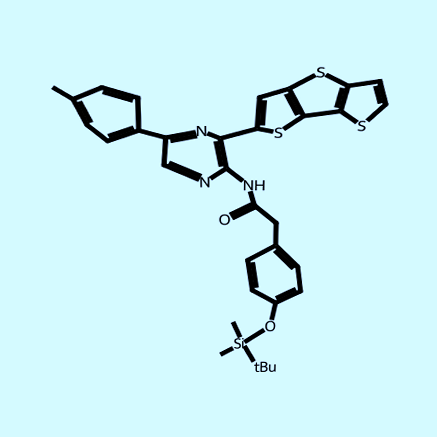 Cc1ccc(-c2cnc(NC(=O)Cc3ccc(O[Si](C)(C)C(C)(C)C)cc3)c(-c3cc4sc5ccsc5c4s3)n2)cc1